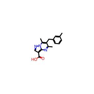 Cc1cccc(Cc2c(C)nc3c(C(=O)O)cnn3c2C)c1